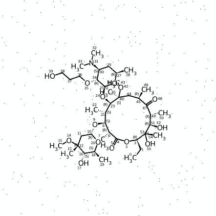 CC[C@H]1OC(=O)[C@H](C)[C@@H](O[C@H]2C[C@@](C)(OC)[C@@H](O)[C@H](C)O2)[C@H](C)[C@@H](O[C@@H]2O[C@H](C)C[C@H](N(C)C)[C@H]2OCCCO)[C@@](C)(OC)C[C@@H](C)C(=O)[C@H](C)[C@@H](O)[C@]1(C)O